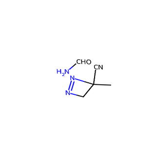 CC1(C#N)CN=N1.NC=O